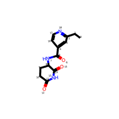 CCc1cc(C(=O)NC2CCC(=O)NC2=O)ccn1